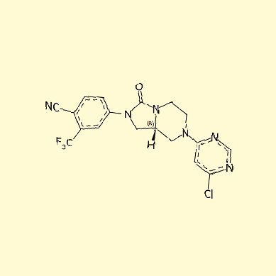 N#Cc1ccc(N2C[C@H]3CN(c4cc(Cl)ncn4)CCN3C2=O)cc1C(F)(F)F